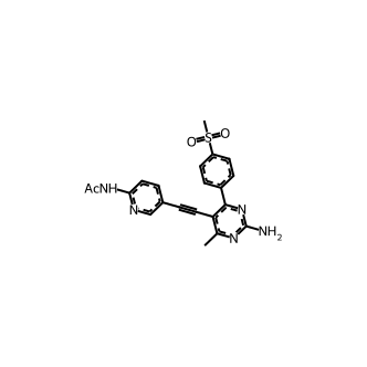 CC(=O)Nc1ccc(C#Cc2c(C)nc(N)nc2-c2ccc(S(C)(=O)=O)cc2)cn1